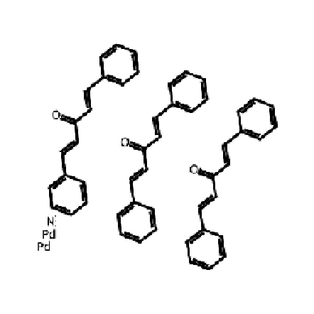 O=C(C=Cc1ccccc1)C=Cc1ccccc1.O=C(C=Cc1ccccc1)C=Cc1ccccc1.O=C(C=Cc1ccccc1)C=Cc1ccccc1.[N].[Pd].[Pd]